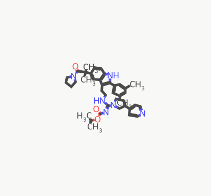 Cc1cc(C)cc(-c2[nH]c3ccc(C(C)(C)C(=O)N4CCCC4)cc3c2CCN/C(=N\C(=O)OC(C)C)N2CCC(c3ccncc3)C2)c1